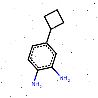 Nc1ccc(C2CCC2)cc1N